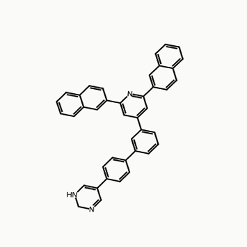 C1=NCNC=C1c1ccc(-c2cccc(-c3cc(-c4ccc5ccccc5c4)nc(-c4ccc5ccccc5c4)c3)c2)cc1